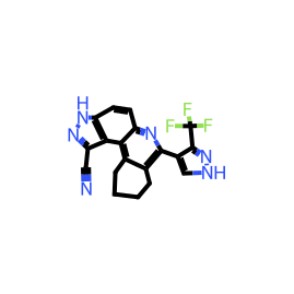 N#Cc1n[nH]c2ccc3nc(-c4c[nH]nc4C(F)(F)F)c4c(c3c12)CCCC4